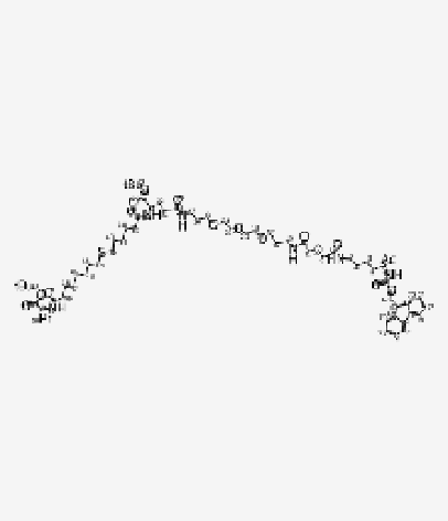 CC(=O)C(CCCCNC(=O)COCC(=O)NCCCOCCOCCOCCCNC(=O)CCC(NC(=O)CCCCCSCCCCCCCC(=O)NC(C(=O)OC(C)(C)C)C(C)C)C(=O)OC(C)(C)C)NC(=O)OCC1c2ccccc2-c2ccccc21